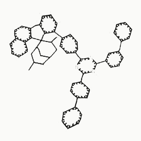 CC1CC2CC(C)C3(c4c(-c5ccc(-c6nc(-c7ccc(-c8ccccc8)cc7)nc(-c7cccc(-c8ccccc8)c7)n6)cc5)cccc4-c4ccc5ccccc5c43)C(C1)C2